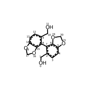 OCc1ccc2c(c1-c1c(CO)ccc3c1OCO3)OCO2